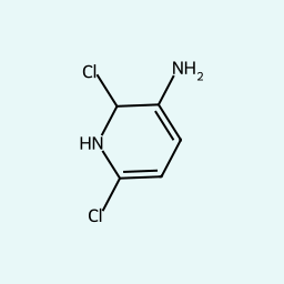 NC1=CC=C(Cl)NC1Cl